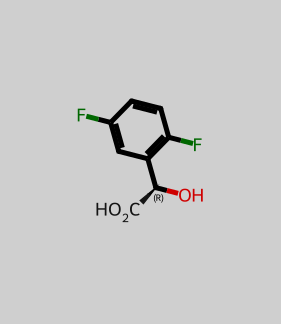 O=C(O)[C@H](O)c1cc(F)ccc1F